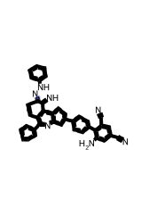 N#Cc1cc(N)c(-c2ccc(-c3ccc4c5c(c(-c6ccccc6)nc4c3)C=C/C(=N/Nc3ccccc3)C5=N)cc2)c(C#N)c1